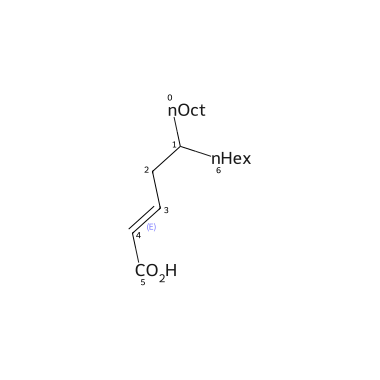 CCCCCCCCC(C/C=C/C(=O)O)CCCCCC